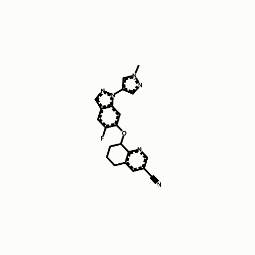 Cn1cc(-n2ncc3cc(F)c(OC4CCCc5cc(C#N)cnc54)cc32)cn1